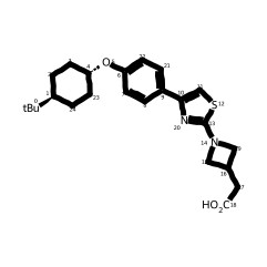 CC(C)(C)[C@H]1CC[C@H](Oc2ccc(-c3csc(N4CC(CC(=O)O)C4)n3)cc2)CC1